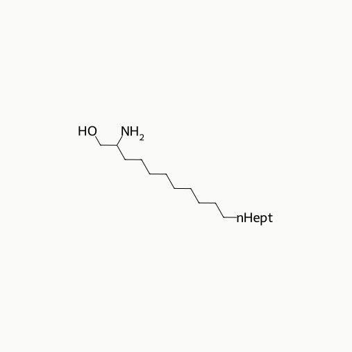 CCCCCCCCCCCCCCCCC(N)CO